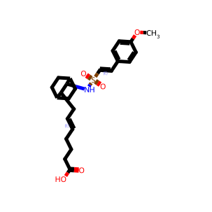 COc1ccc(/C=C/S(=O)(=O)NC2C3CCC(CC3)C2C/C=C/CCCC(=O)O)cc1